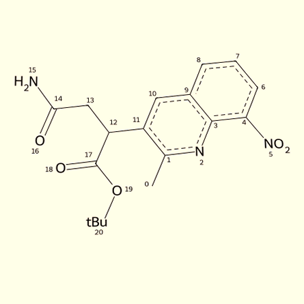 Cc1nc2c([N+](=O)[O-])cccc2cc1C(CC(N)=O)C(=O)OC(C)(C)C